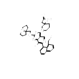 O=C1CC2(CCCN(c3nc(OCC45CCCN4CCC5)nc4c(F)c(-c5cccc6cccc(CF)c56)ncc34)C2)N1